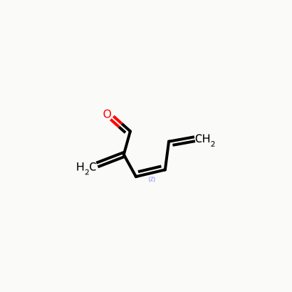 C=C/C=C\C(=C)C=O